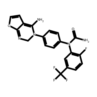 NC(=O)N(c1ccc(N2CN=c3occc3=C2N)cc1)c1cc(C(F)(F)F)ccc1F